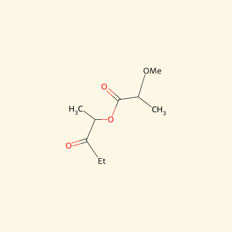 CCC(=O)C(C)OC(=O)C(C)OC